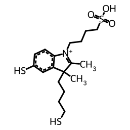 CC1=[N+](CCCCS(=O)(=O)O)c2ccc(S)cc2C1(C)CCCCS